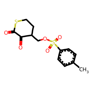 Cc1ccc(S(=O)(=O)OCC2CCSC(=O)C2=O)cc1